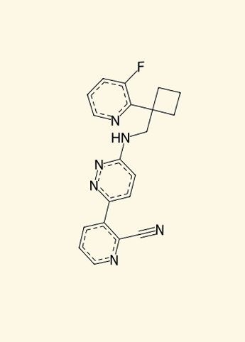 N#Cc1ncccc1-c1ccc(NCC2(c3ncccc3F)CCC2)nn1